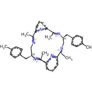 C/C1=N\C[C@H](Cc2ccc(C)cc2)/N=C(\C)c2cccc(n2)/C(C)=N/C[C@H](Cc2ccc(C)cc2)/N=C(\C)c2cccc1n2